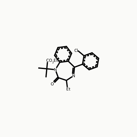 CCOC(=O)C(C)(C)N1C(=O)C(CC)N=C(c2ccccc2Cl)c2ccccc21